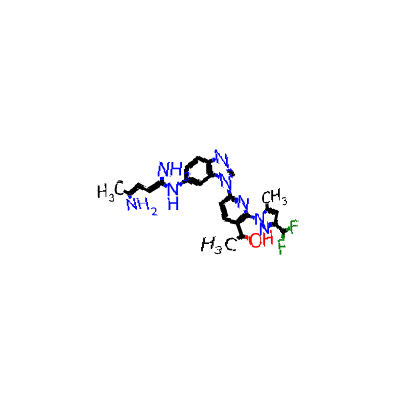 C/C(N)=C/C=C(\N)Nc1ccc2ncn(-c3ccc(C(C)O)c(-n4nc(C(F)F)cc4C)n3)c2c1